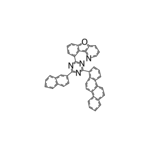 c1ccc2cc(-c3nc(-c4cccc5c4ccc4c6ccccc6ccc54)nc(-c4cccc5oc6cccnc6c45)n3)ccc2c1